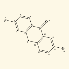 O=C1c2ccc(Br)cc2Cc2ccc(Br)cc21